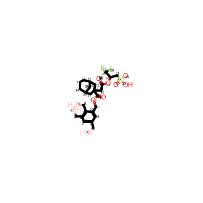 BCc1cc(CB)c(CB)c(COC(=O)C2(CC(=O)OC(CS(=O)(=O)O)C(F)(F)F)CC3CCCC(C3)C2)c1